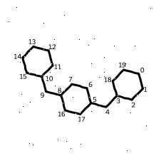 C1CCC(CC2CCC(CC3CCCCC3)CC2)CC1